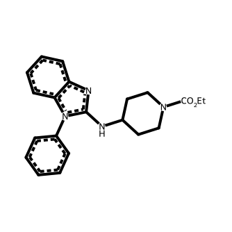 CCOC(=O)N1CCC(Nc2nc3ccccc3n2-c2ccccc2)CC1